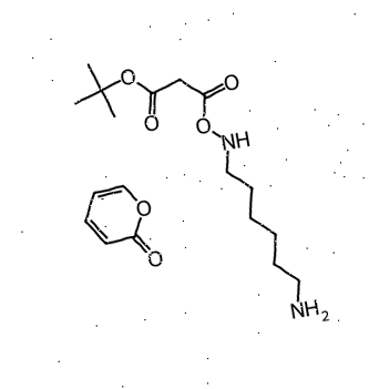 CC(C)(C)OC(=O)CC(=O)ONCCCCCCN.O=c1cccco1